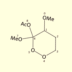 COC1CCOOC1(OC)OC(C)=O